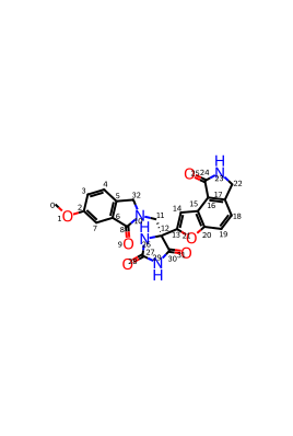 COc1ccc2c(c1)C(=O)N(C[C@@]1(c3cc4c5c(ccc4o3)CNC5=O)NC(=O)NC1=O)C2